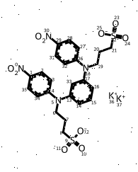 O=[N+]([O-])c1ccc(N(CCCS(=O)(=O)[O-])c2cccc(N(CCCS(=O)(=O)[O-])c3ccc([N+](=O)[O-])cc3)c2)cc1.[K+].[K+]